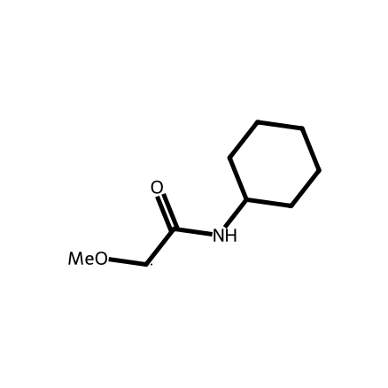 CO[CH]C(=O)NC1CCCCC1